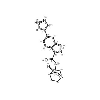 O=C(N[C@@H]1CN2CCC1CC2)c1n[nH]c2cc(-c3c[nH]nn3)ccc12